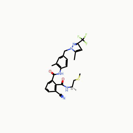 CSC[C@H](C)NC(=O)c1c(C#N)cccc1C(=O)Nc1ccc(Cn2nc(C(F)(F)F)cc2C)cc1C